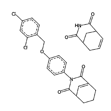 O=C1C2=CC(CCC2)C(=O)N1c1ccc(OCc2ccc(Cl)cc2Cl)cc1.O=C1NC(=O)C2CC=CC1C2